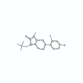 Cn1c(=O)n(CC(C)(C)C)c2ccc(-c3ccc(F)cc3F)cc21